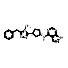 Cn1c(Cc2ccccc2)nnc1[C@H]1CC[C@H](Nc2ncnc3[nH]ncc23)C1